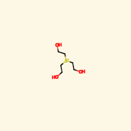 OCC[S+](CCO)CCO